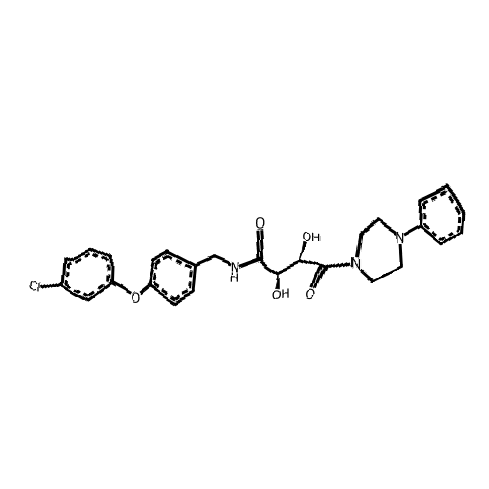 O=C(NCc1ccc(Oc2cccc(Cl)c2)cc1)[C@H](O)[C@@H](O)C(=O)N1CCN(c2ccccc2)CC1